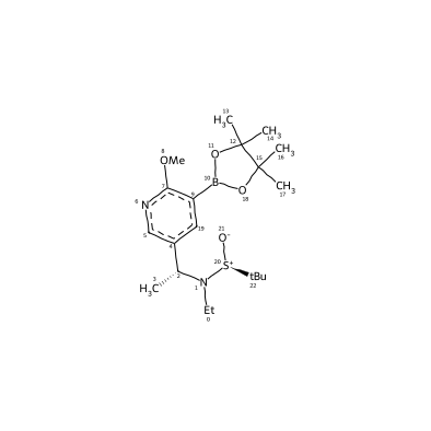 CCN([C@H](C)c1cnc(OC)c(B2OC(C)(C)C(C)(C)O2)c1)[S@@+]([O-])C(C)(C)C